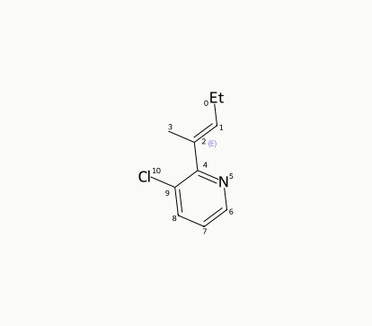 CC/C=C(\C)c1ncccc1Cl